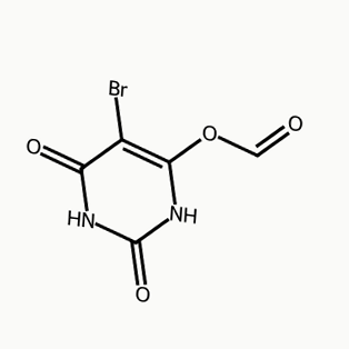 O=COc1[nH]c(=O)[nH]c(=O)c1Br